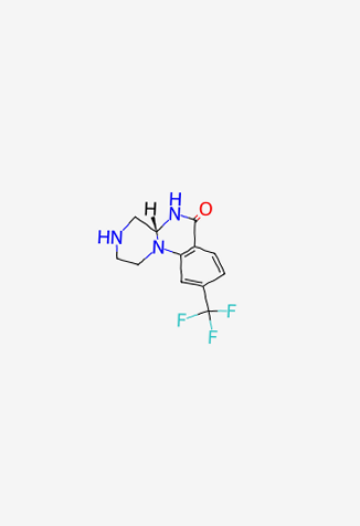 O=C1N[C@H]2CNCCN2c2cc(C(F)(F)F)ccc21